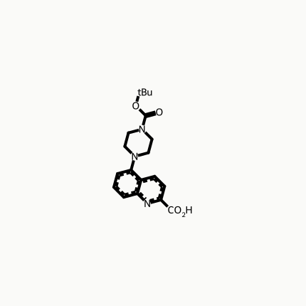 CC(C)(C)OC(=O)N1CCN(c2cccc3nc(C(=O)O)ccc23)CC1